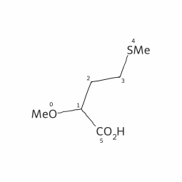 COC(CCSC)C(=O)O